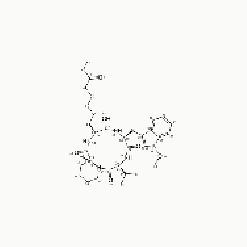 CCC(=O)CCCCC[C@@H]1NC(=O)[C@H]2CCCCN2C(=O)[C@H](C(C)C)NC(=O)[C@H](Cc2cn(OC)c3ccccc23)NC1O